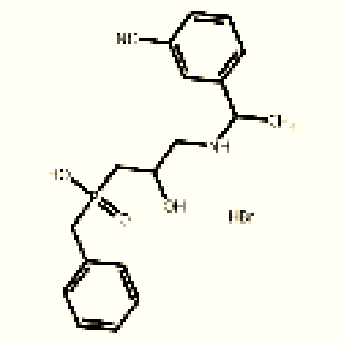 Br.CC(NCC(O)CP(=O)(O)Cc1ccccc1)c1cccc(C#N)c1